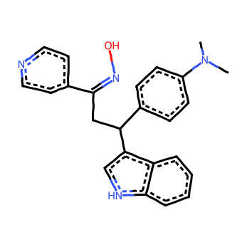 CN(C)c1ccc(C(CC(=NO)c2ccncc2)c2c[nH]c3ccccc23)cc1